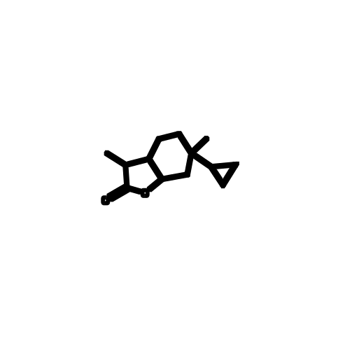 CC1C(=O)OC2CC(C)(C3CC3)CCC21